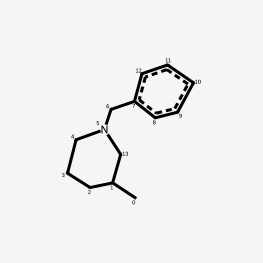 CC1CCCN(Cc2ccccc2)C1